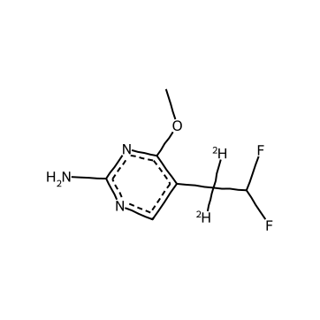 [2H]C([2H])(c1cnc(N)nc1OC)C(F)F